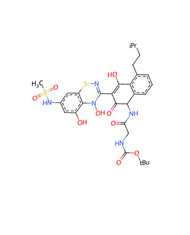 CC(C)CCc1cccc2c1C(O)=C(C1=NSc3cc(NS(C)(=O)=O)cc(O)c3N1O)C(=O)C2NC(=O)CNC(=O)OC(C)(C)C